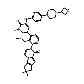 COCc1c(C2C=C(Nc3ccc(N4CCN(C5COC5)CC4)cn3)C(=O)N(C)C2)ccnc1-n1ccn2c3c(cc2c1=O)CC(C)(C)C3